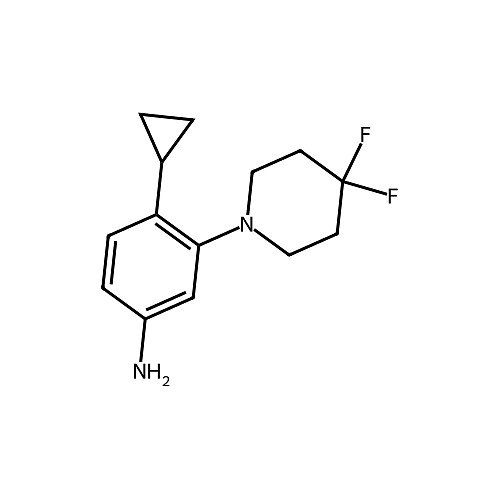 Nc1ccc(C2CC2)c(N2CCC(F)(F)CC2)c1